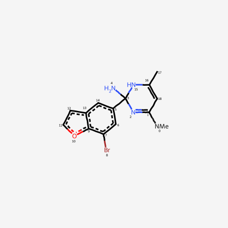 CNC1=NC(N)(c2cc(Br)c3occc3c2)NC(C)=C1